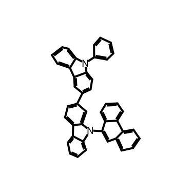 c1ccc(-n2c3ccccc3c3cc(-c4ccc5c6ccccc6n(-c6cc7ccccc7c7ccccc67)c5c4)ccc32)cc1